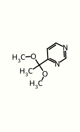 COC(C)(OC)c1ccncn1